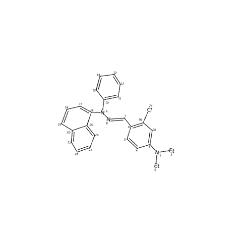 CCN(CC)c1ccc(C=NN(c2ccccc2)c2cccc3ccccc23)c(Cl)c1